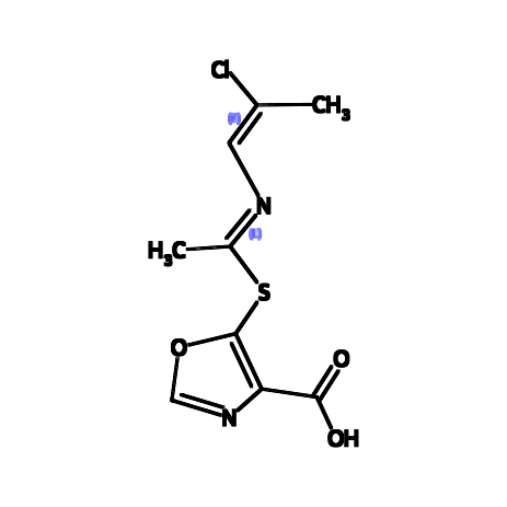 C/C(Cl)=C\N=C(/C)Sc1ocnc1C(=O)O